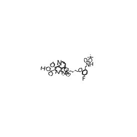 COc1c(C(=O)O)nc(N(C)S(=O)(=O)CCCCOc2cc(F)ccc2CNC(=O)OC(C)(C)C)c2cccnc12